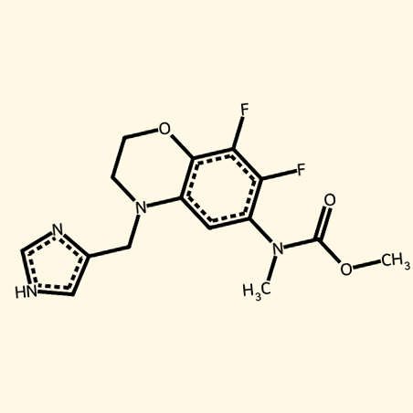 COC(=O)N(C)c1cc2c(c(F)c1F)OCCN2Cc1c[nH]cn1